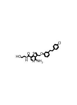 Nc1ncc(C(=O)NCCO)c2scc(COc3cccc(CCc4ccc(Cl)cc4)c3)c12